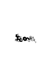 CN(C)C(=O)Cc1ccc(N2CCC3(O)C(=O)c4ccsc4N=C23)cc1